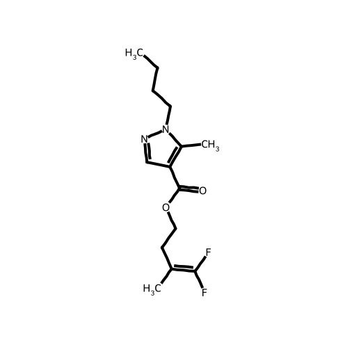 CCCCn1ncc(C(=O)OCCC(C)=C(F)F)c1C